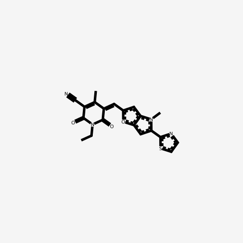 CCN1C(=O)C(C#N)=C(C)/C(=C/c2cc3c(cc(-c4nccs4)n3C)o2)C1=O